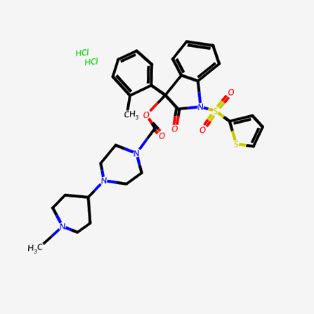 Cc1ccccc1C1(OC(=O)N2CCN(C3CCN(C)CC3)CC2)C(=O)N(S(=O)(=O)c2cccs2)c2ccccc21.Cl.Cl